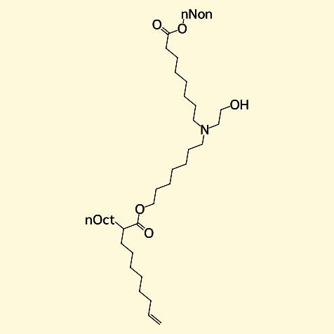 C=CCCCCCCC(CCCCCCCC)C(=O)OCCCCCCCN(CCO)CCCCCCCC(=O)OCCCCCCCCC